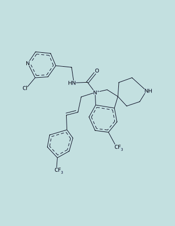 O=C(NCc1ccnc(Cl)c1)[N+]1(C/C=C/c2ccc(C(F)(F)F)cc2)CC2(CCNCC2)c2cc(C(F)(F)F)ccc21